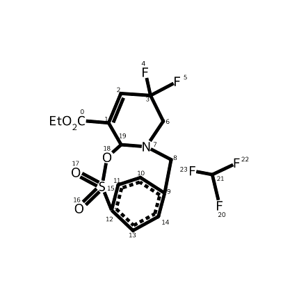 CCOC(=O)C1=CC(F)(F)CN2Cc3ccc(cc3)S(=O)(=O)OC12.FC(F)F